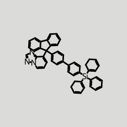 C1=CCCC([Si](C2=CC=CCC2)(c2ccccc2)c2ccc(-c3ccc(C4(c5cccn6ncnc56)c5ccccc5-c5ccccc54)cc3)cc2)=C1